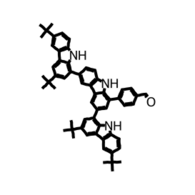 CC(C)(C)c1ccc2[nH]c3c(-c4ccc5[nH]c6c(-c7ccc(C=O)cc7)cc(-c7cc(C(C)(C)C)cc8c7[nH]c7ccc(C(C)(C)C)cc78)cc6c5c4)cc(C(C)(C)C)cc3c2c1